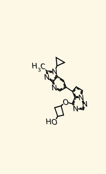 Cc1nc2ncc(-c3ccn4ncnc(OC5CC(O)C5)c34)cc2n1C1CC1